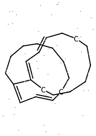 C1=C(\C2=C\C=C\CCCCCCCC2)CCCCCCCC/C=C/1